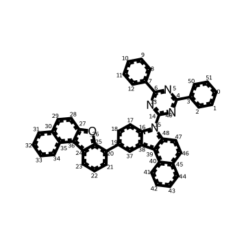 c1ccc(-c2nc(-c3ccccc3)nc(-n3c4ccc(-c5cccc6c5oc5ccc7ccccc7c56)cc4c4c5ccccc5ccc43)n2)cc1